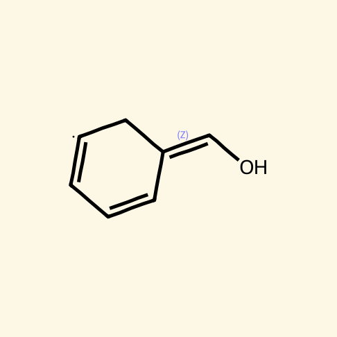 O/C=C1\C=CC=[C]C1